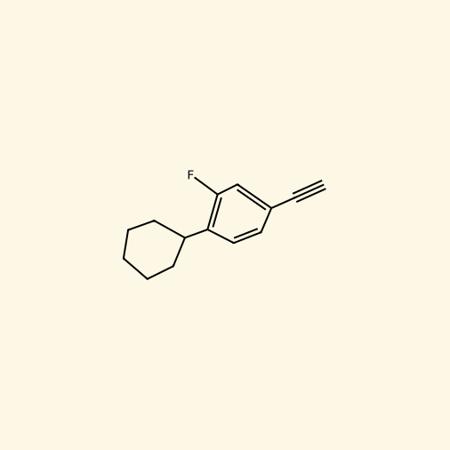 C#Cc1ccc(C2CCCCC2)c(F)c1